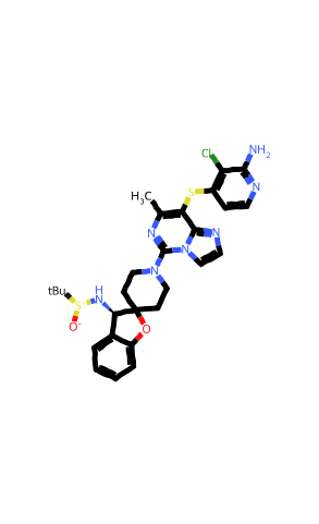 Cc1nc(N2CCC3(CC2)Oc2ccccc2[C@H]3N[S+]([O-])C(C)(C)C)n2ccnc2c1Sc1ccnc(N)c1Cl